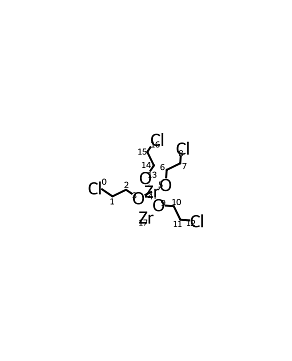 ClCC[O][Zr]([O]CCCl)([O]CCCl)[O]CCCl.[Zr]